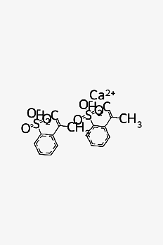 C=C(C)c1ccccc1S(=O)(=O)[O-].C=C(C)c1ccccc1S(=O)(=O)[O-].[Ca+2]